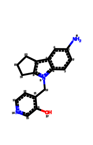 Nc1ccc2c(c1)c1c(n2Cc2ccncc2O)CCC1